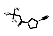 [CH2]C(C)(C)CC(=O)N1CC[C@H](C#N)C1